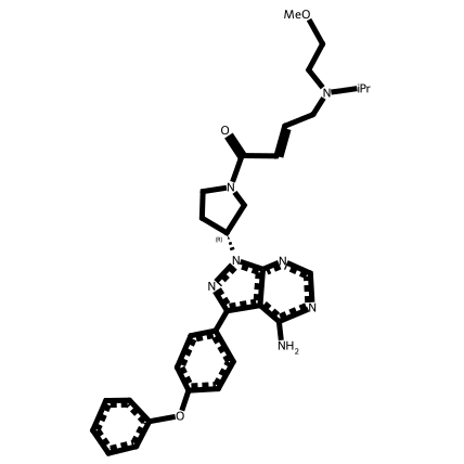 COCCN(CC=CC(=O)N1CC[C@@H](n2nc(-c3ccc(Oc4ccccc4)cc3)c3c(N)ncnc32)C1)C(C)C